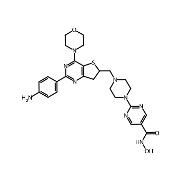 Nc1ccc(-c2nc3c(c(N4CCOCC4)n2)SC(CN2CCN(c4ncc(C(=O)NO)cn4)CC2)C3)cc1